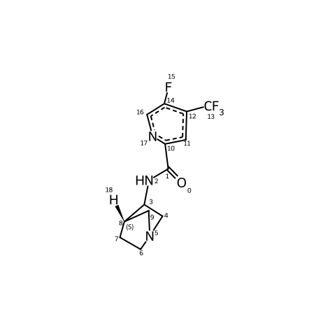 O=C(NC1CN2CC[C@H]1C2)c1cc(C(F)(F)F)c(F)cn1